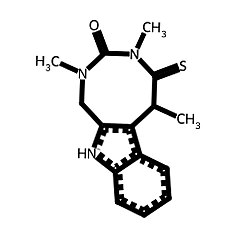 CC1C(=S)N(C)C(=O)N(C)Cc2[nH]c3ccccc3c21